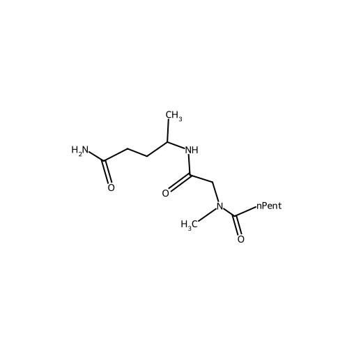 CCCCCC(=O)N(C)CC(=O)NC(C)CCC(N)=O